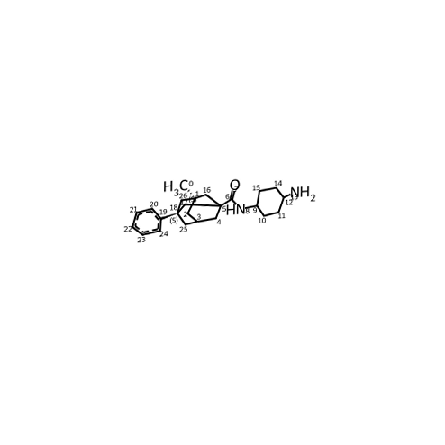 C[C@@]12CC3CC(C(=O)NC4CCC(N)CC4)(C1)C[C@](c1ccccc1)(C3)C2